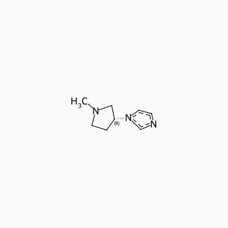 CN1CC[C@@H](n2ccnc2)C1